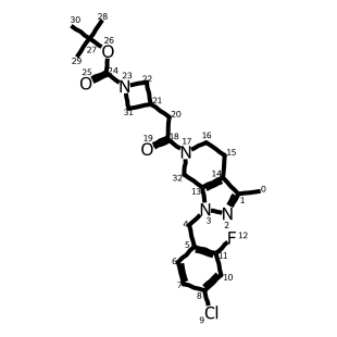 Cc1nn(Cc2ccc(Cl)cc2F)c2c1CCN(C(=O)CC1CN(C(=O)OC(C)(C)C)C1)C2